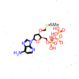 CSSCO[C@H]1C[C@H](n2cnc3c(N)ccnc32)O[C@@H]1COP(=O)(O)OP(=O)(O)OP(=O)(O)O